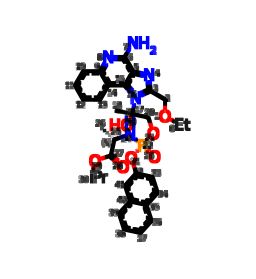 CCOCc1nc2c(N)nc3ccccc3c2n1[C@@](C)(O)COP(=O)(N[C@@H](C)C(=O)OC(C)C)Oc1ccc2ccccc2c1